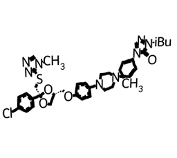 CC[C@@H](C)n1ncn(C2=CCC(C)(N3CCN(c4ccc(OC[C@@H]5CO[C@@](CSc6nncn6C)(c6ccc(Cl)cc6)O5)cc4)CC3)C=C2)c1=O